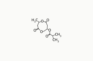 CC1CC(=O)OCC(OC(=O)C(C)C)CC(=O)O1